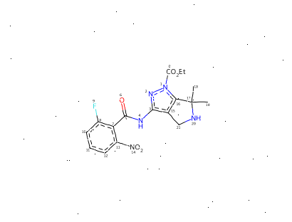 CCOC(=O)n1nc(NC(=O)c2c(F)cccc2[N+](=O)[O-])c2c1C(C)(C)NC2